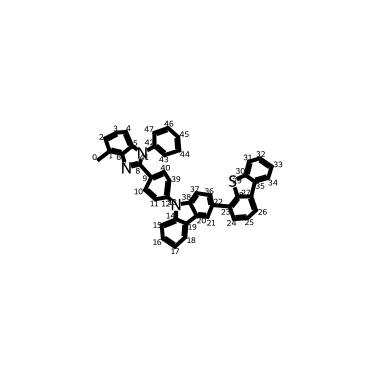 Cc1cccc2c1nc(-c1ccc(-n3c4ccccc4c4cc(-c5cccc6c5sc5ccccc56)ccc43)cc1)n2-c1ccccc1